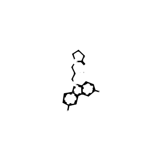 C[C@H]1CCN(C[C@H](O)Cn2c3ccc(F)cc3c3cc(F)ccc32)C1=O